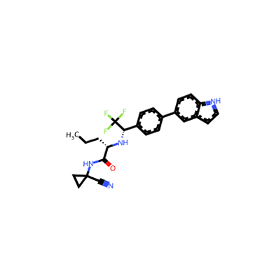 CCC[C@H](N[C@@H](c1ccc(-c2ccc3[nH]ccc3c2)cc1)C(F)(F)F)C(=O)NC1(C#N)CC1